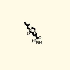 C/C=C(\C)CN1CCn2cc(C(=O)NO)cc2C1=O